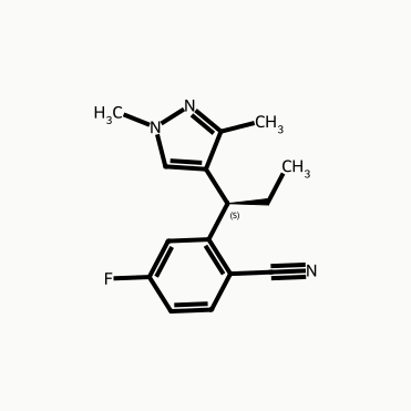 CC[C@@H](c1cc(F)ccc1C#N)c1cn(C)nc1C